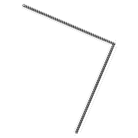 [N].[N].[N].[N].[N].[N].[N].[N].[N].[N].[N].[N].[N].[N].[N].[N].[N].[N].[N].[N].[N].[N].[N].[N].[N].[N].[N].[N].[N].[N].[N].[N].[N].[N].[N].[N].[N].[N].[N].[N].[N].[N].[N].[N].[N].[N].[N].[N].[N].[N].[N].[N].[N].[N].[N].[N].[N].[N].[N].[N].[N].[N].[N].[N].[N].[N].[N].[N].[N].[N].[N].[N].[N].[N].[N].[N].[N].[N].[N].[N].[N].[N].[N].[N].[N].[N].[N].[N].[N].[N].[N].[N].[N].[N].[N].[N].[N].[N].[N].[O]